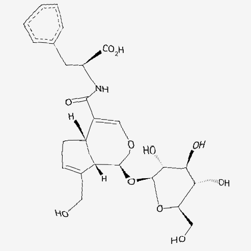 O=C(N[C@@H](Cc1ccccc1)C(=O)O)C1=CO[C@@H](O[C@@H]2O[C@H](CO)[C@@H](O)[C@H](O)[C@H]2O)[C@@H]2C(CO)=CC[C@H]12